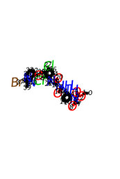 CCOC(=O)N(C(C)=O)c1cccc(NC(=O)NCC(=O)N(C)c2ccc(Cl)c(COc3cccn4c(Br)c(C)nc34)c2Cl)c1